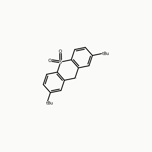 CC(C)(C)c1ccc2c(c1)[CH]c1cc(C(C)(C)C)ccc1S2(=O)=O